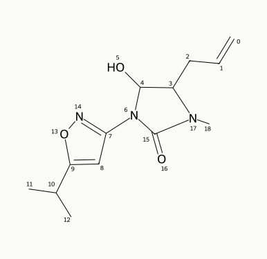 C=CCC1C(O)N(c2cc(C(C)C)on2)C(=O)N1C